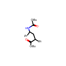 CC(C)COC(=O)NC(CC(C(=O)OCC(C)C)C(C)C)C(C)C